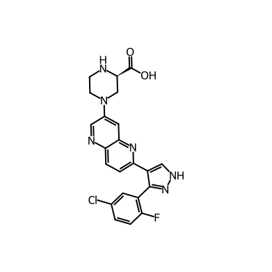 O=C(O)[C@H]1CN(c2cnc3ccc(-c4c[nH]nc4-c4cc(Cl)ccc4F)nc3c2)CCN1